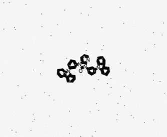 O=c1n(-c2cccc(-n3c4c(c5ccccc53)C=CCC4)c2)c2cccnc2n1-c1cccc(-n2c3ccccc3c3ccccc32)c1